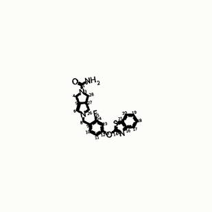 NC(=O)N1CC2=CN(Cc3ccc(Oc4nc5ccccc5s4)cc3F)CC2C1